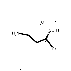 CCC(CCN)S(=O)(=O)O.O